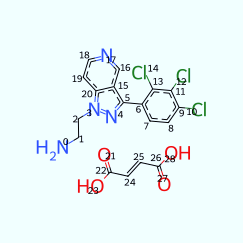 NCCn1nc(-c2ccc(Cl)c(Cl)c2Cl)c2cnccc21.O=C(O)C=CC(=O)O